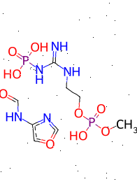 COP(=O)(O)OCCNC(=N)NP(=O)(O)O.O=CNc1cocn1